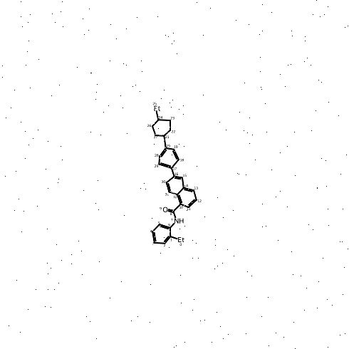 CCc1ccccc1NC(=O)c1cccc2cc(-c3ccc(C4CCC(CC)CC4)cc3)ccc12